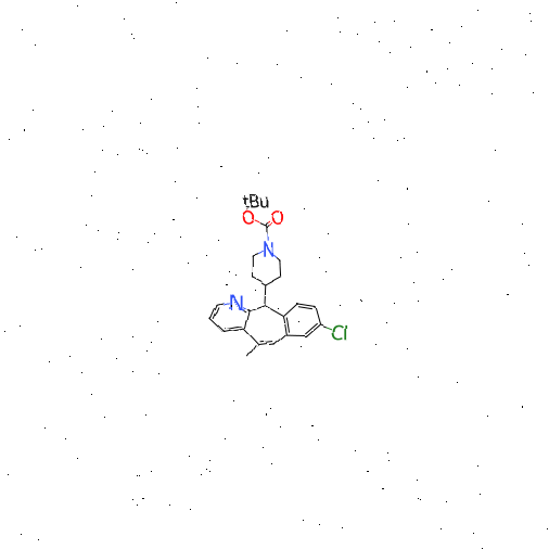 CC1=Cc2cc(Cl)ccc2C(C2CCN(C(=O)OC(C)(C)C)CC2)c2ncccc21